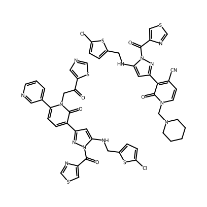 N#Cc1ccn(CN2CCCCC2)c(=O)c1-c1cc(NCc2ccc(Cl)s2)n(C(=O)c2cscn2)n1.O=C(Cn1c(-c2cccnc2)ccc(-c2cc(NCc3ccc(Cl)s3)n(C(=O)c3cscn3)n2)c1=O)c1cncs1